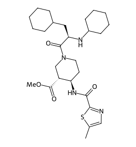 COC(=O)[C@@H]1CN(C(=O)[C@@H](CC2CCCCC2)NC2CCCCC2)CC[C@H]1NC(=O)c1ncc(C)s1